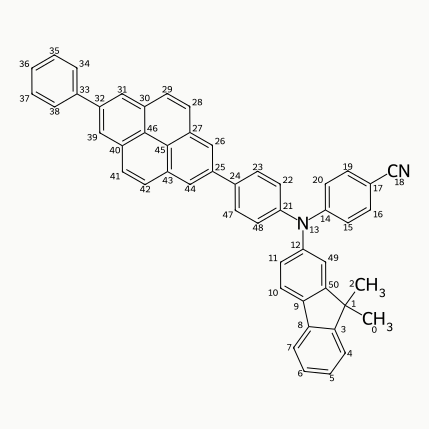 CC1(C)c2ccccc2-c2ccc(N(c3ccc(C#N)cc3)c3ccc(-c4cc5ccc6cc(-c7ccccc7)cc7ccc(c4)c5c67)cc3)cc21